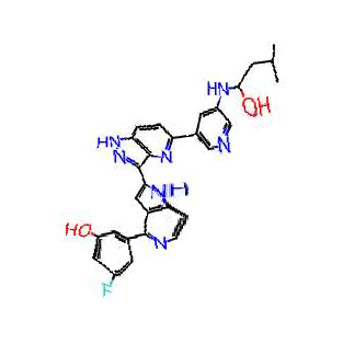 CC(C)CC(O)Nc1cncc(-c2ccc3[nH]nc(-c4cc5c(-c6cc(O)cc(F)c6)nccc5[nH]4)c3n2)c1